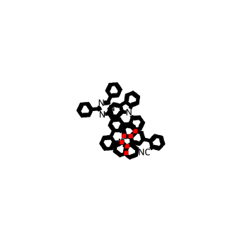 N#Cc1ccccc1-c1ccc2c(c1)c1ccccc1n2-c1c(-c2ccccc2-n2c3ccccc3c3ccccc32)cc(-c2nc(-c3ccccc3)nc(-c3ccccc3)n2)cc1-c1ccccc1-n1c2ccccc2c2ccccc21